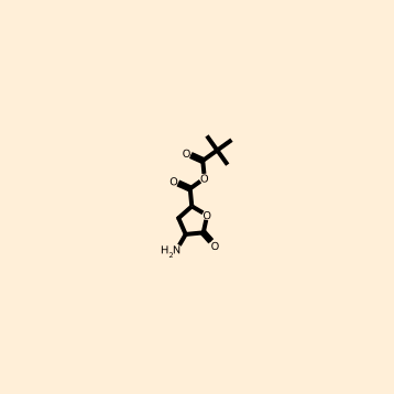 CC(C)(C)C(=O)OC(=O)C1CC(N)C(=O)O1